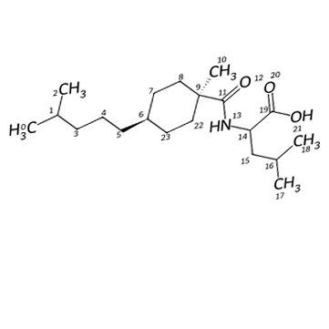 CC(C)CCC[C@H]1CC[C@@](C)(C(=O)NC(CC(C)C)C(=O)O)CC1